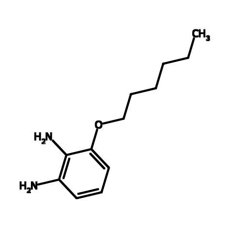 CCCCCCOc1cccc(N)c1N